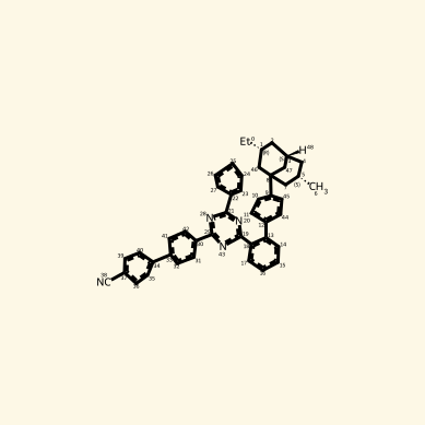 CC[C@@H]1C[C@@H]2C[C@H](C)CC(c3ccc(-c4ccccc4-c4nc(-c5ccccc5)nc(-c5ccc(-c6ccc(C#N)cc6)cc5)n4)cc3)(C1)C2